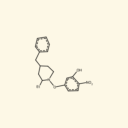 CCC1CC(Cc2ccccc2)CCN1Oc1ccc([N+](=O)[O-])c(O)c1